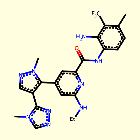 CCNc1cc(-c2c(-c3nncn3C)cnn2C)cc(C(=O)Nc2ccc(C)c(C(F)(F)F)c2N)n1